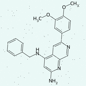 COc1ccc(-c2cc3c(NCc4ccccc4)cc(N)nc3cn2)cc1OC